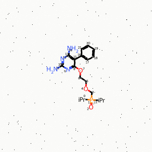 CC(C)P(=O)(COCCOc1nc(N)nc(N)c1-c1ccccc1)C(C)C